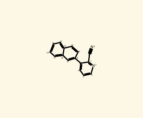 N#Cc1ncccc1-c1ccc2cc[c]cc2c1